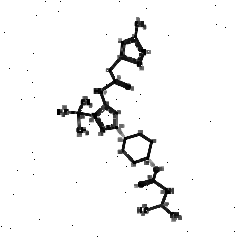 Cc1cc(CC(=O)Nc2cc([C@H]3CC[C@@H](OC(=O)NC(C)C)CC3)nn2C(C)(C)C)on1